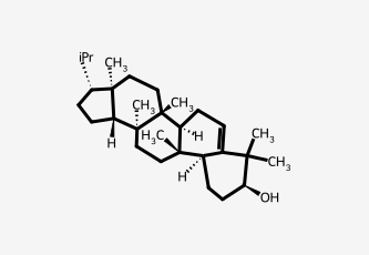 CC(C)[C@H]1CC[C@@H]2[C@]1(C)CC[C@]1(C)[C@H]3CC=C4[C@@H](CC[C@H](O)C4(C)C)[C@]3(C)CC[C@@]21C